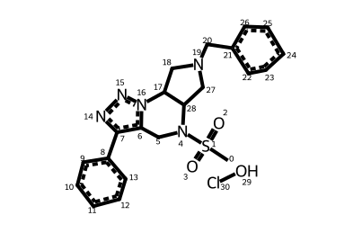 CS(=O)(=O)N1Cc2c(-c3ccccc3)nnn2C2CN(Cc3ccccc3)CC21.OCl